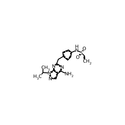 C=CS(=O)(=O)Nc1ccc(Cc2nc(N)c3cnn(C(C)C)c3n2)cc1